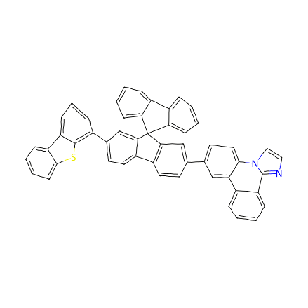 c1ccc2c(c1)-c1ccccc1C21c2cc(-c3ccc4c(c3)c3ccccc3c3nccn43)ccc2-c2ccc(-c3cccc4c3sc3ccccc34)cc21